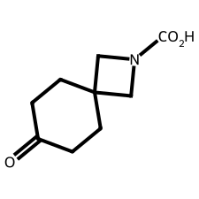 O=C1CCC2(CC1)CN(C(=O)O)C2